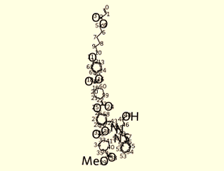 C=CC(=O)OCCCCCCOc1ccc(OC(=O)[C@H]2CC[C@H](C(=O)Oc3ccc(OC(=O)[C@H]4CC[C@H](C(=O)OC)CC4)c(/C=N/N(CCO)c4nc5ccccc5s4)c3)CC2)cc1